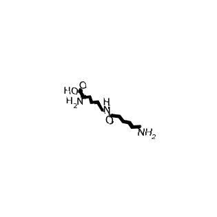 NCCCCCC(=O)NCCCC[C@H](N)C(=O)O